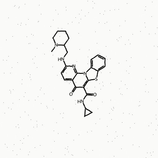 CN1CCCCC1CNc1ccc2c(=O)c(C(=O)NC3CC3)c3sc4ccccc4n3c2n1